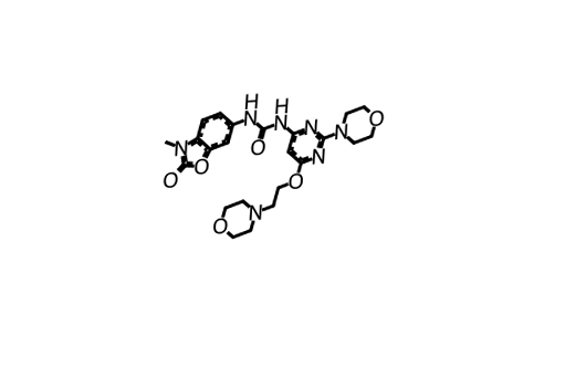 Cn1c(=O)oc2cc(NC(=O)Nc3cc(OCCN4CCOCC4)nc(N4CCOCC4)n3)ccc21